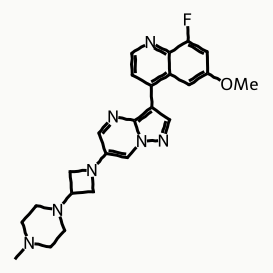 COc1cc(F)c2nccc(-c3cnn4cc(N5CC(N6CCN(C)CC6)C5)cnc34)c2c1